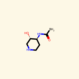 BC(=O)N[C@H]1CCNC[C@@H]1O